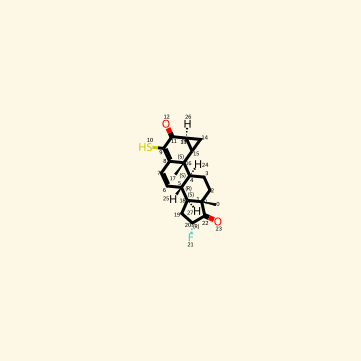 C[C@]12CC[C@H]3[C@@H](C=CC4=C(S)C(=O)[C@H]5CC5[C@@]43C)[C@@H]1C[C@@H](F)C2=O